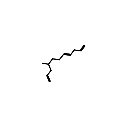 C=CCC=CCCC(C)CC=C